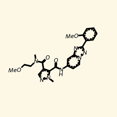 COCCN(C)C(=O)c1cnn(C)c1C(=O)Nc1ccn2nc(-c3ccccc3OC)nc2c1